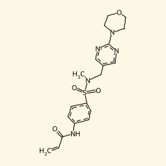 C=CC(=O)Nc1ccc(S(=O)(=O)N(C)Cc2cnc(N3CCOCC3)nc2)cc1